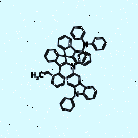 C=Cc1ccccc1C1=C(N(c2ccccc2)c2ccc3c(c2)c2ccccc2n3-c2ccccc2)C2(c3ccccc31)c1ccccc1-c1c(N(c3ccccc3)c3ccccc3)cccc12